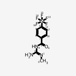 CN=C(N)NC(=O)c1ccc(S(F)(F)(F)(F)F)cc1